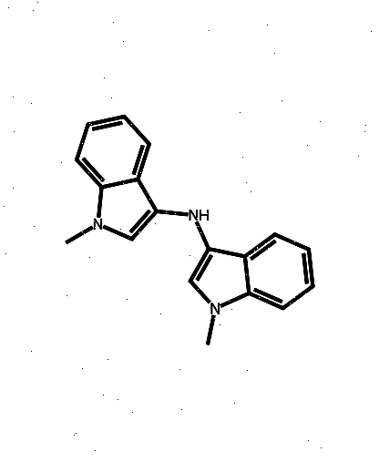 Cn1cc(Nc2cn(C)c3ccccc23)c2ccccc21